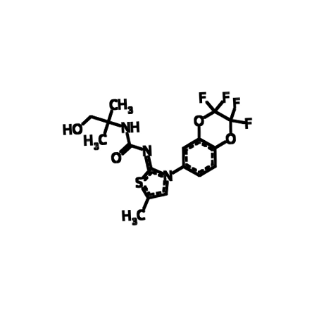 Cc1cn(-c2ccc3c(c2)OC(F)(F)C(F)(F)O3)c(=NC(=O)NC(C)(C)CO)s1